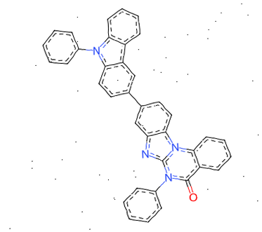 O=c1c2ccccc2n2c3ccc(-c4ccc5c(c4)c4ccccc4n5-c4ccccc4)cc3nc2n1-c1ccccc1